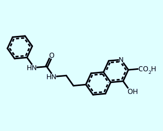 O=C(NCCc1ccc2c(O)c(C(=O)O)ncc2c1)Nc1ccccc1